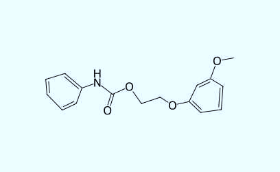 COc1cccc(OCCOC(=O)Nc2ccccc2)c1